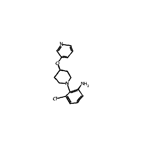 Nc1cccc(Cl)c1N1CCC(Oc2cccnc2)CC1